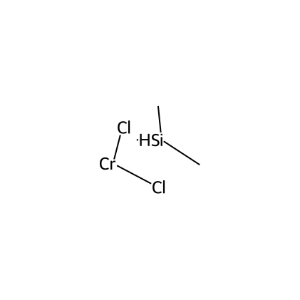 C[SiH]C.[Cl][Cr][Cl]